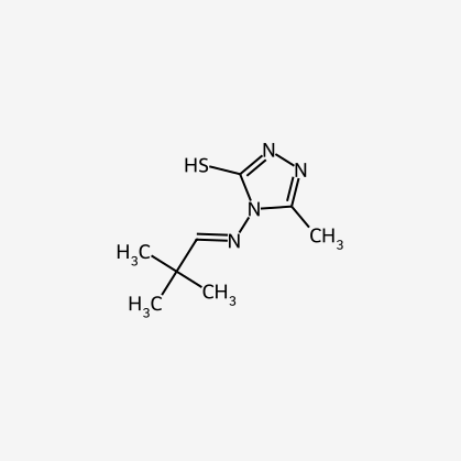 Cc1nnc(S)n1N=CC(C)(C)C